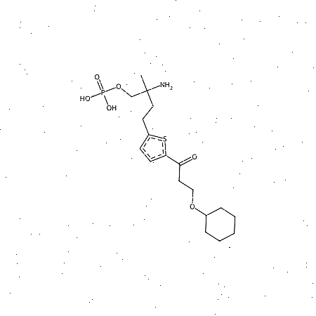 CC(N)(CCc1ccc(C(=O)CCOC2CCCCC2)s1)COP(=O)(O)O